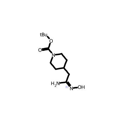 CC(C)(C)OC(=O)N1CCC(C/C(N)=N\O)CC1